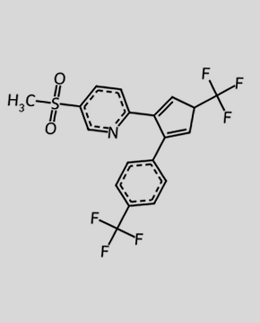 CS(=O)(=O)c1ccc(C2=CC(C(F)(F)F)C=C2c2ccc(C(F)(F)F)cc2)nc1